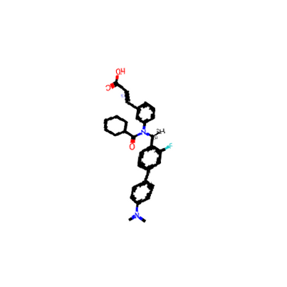 [2H][C@@H](c1ccc(-c2ccc(N(C)C)cc2)cc1F)N(C(=O)C1CCCCC1)c1cccc(/C=C/C(=O)O)c1